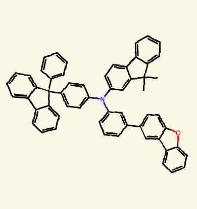 CC1(C)c2ccccc2-c2ccc(N(c3ccc(C4(c5ccccc5)c5ccccc5-c5ccccc54)cc3)c3cccc(-c4ccc5oc6ccccc6c5c4)c3)cc21